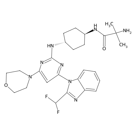 CC(C)(N)C(=O)N[C@H]1CC[C@H](Nc2nc(N3CCOCC3)cc(-n3c(C(F)F)nc4ccccc43)n2)CC1